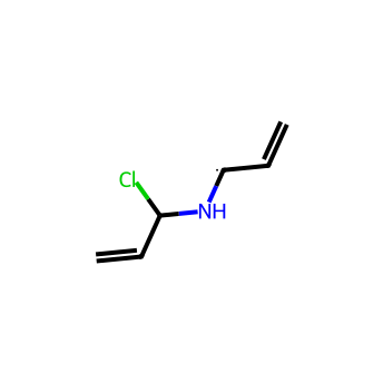 C=C[CH]NC(Cl)C=C